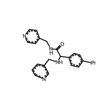 CC(C)c1ccc(C(NCc2cccnc2)C(=O)NCc2ccncc2)cc1